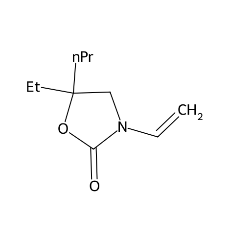 C=CN1CC(CC)(CCC)OC1=O